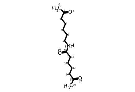 CC(=O)CCCCCNC(=O)CCCCC(C)=O